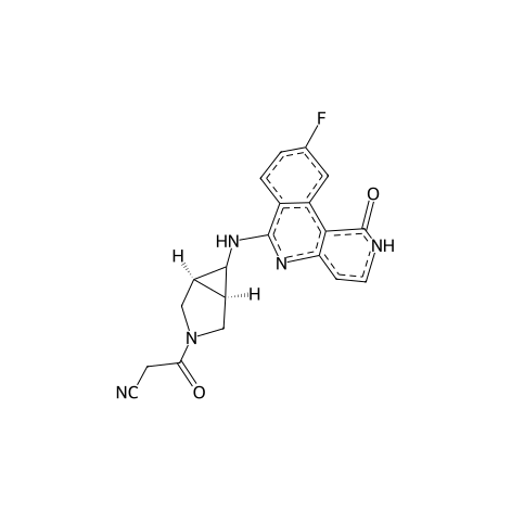 N#CCC(=O)N1C[C@@H]2C(Nc3nc4cc[nH]c(=O)c4c4cc(F)ccc34)[C@@H]2C1